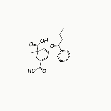 CC1(C(=O)O)C=CC=C(C(=O)O)C1.CCCC(=O)c1ccccc1